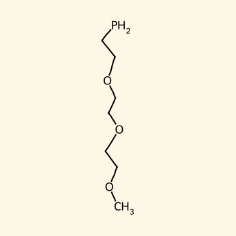 COCCOCCOCCP